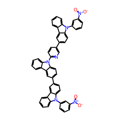 O=[N+]([O-])c1cccc(-n2c3ccccc3c3cc(-c4ccc(-n5c6ccccc6c6cc(-c7ccc8c(c7)c7ccccc7n8-c7cccc([N+](=O)[O-])c7)ccc65)nc4)ccc32)c1